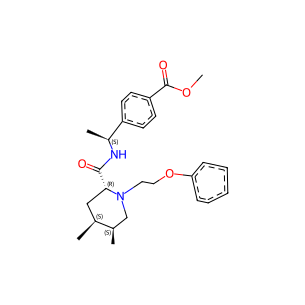 COC(=O)c1ccc([C@H](C)NC(=O)[C@H]2C[C@H](C)[C@H](C)CN2CCOc2ccccc2)cc1